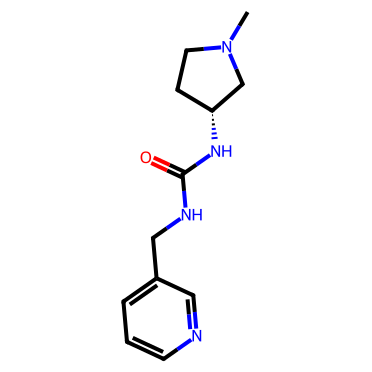 CN1CC[C@@H](NC(=O)NCc2cccnc2)C1